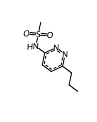 CCCc1ccc(NS(C)(=O)=O)nn1